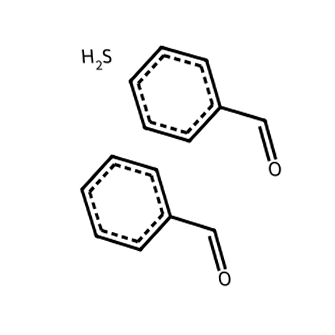 O=Cc1ccccc1.O=Cc1ccccc1.S